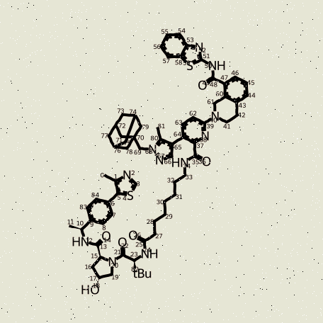 Cc1ncsc1-c1ccc([C@H](C)NC(=O)[C@@H]2C[C@@H](O)CN2C(=O)[C@@H](NC(=O)CCCCCCCNC(=O)c2nc(N3CCc4cccc(C(=O)Nc5nc6ccccc6s5)c4C3)ccc2-c2cnn(CC34CC5CC(CC(C5)C3)C4)c2C)C(C)(C)C)cc1